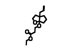 C=CCC12CCCC1(OCCC(=O)OCC)OCC2